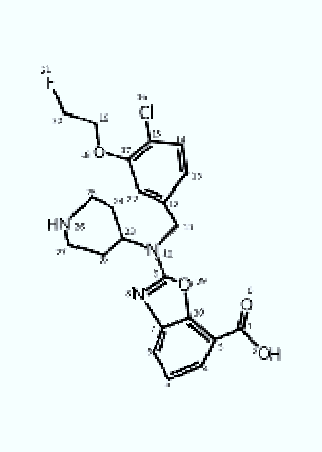 O=C(O)c1cccc2nc(N(Cc3ccc(Cl)c(OCCF)c3)C3CCNCC3)oc12